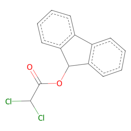 O=C(OC1c2ccccc2-c2ccccc21)C(Cl)Cl